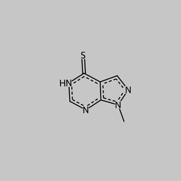 Cn1ncc2c(=S)[nH]cnc21